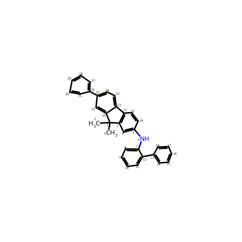 CC1(C)c2cc(Nc3ccccc3-c3ccccc3)ccc2-c2ccc(-c3ccccc3)cc21